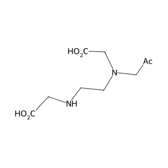 CC(=O)CN(CCNCC(=O)O)CC(=O)O